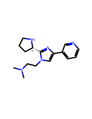 CN(C)CCn1cc(-c2cccnc2)nc1[C@@H]1CCCN1